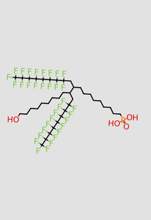 O=P(O)(O)CCCCCCCCCC(CC(F)(F)C(F)(F)C(F)(F)C(F)(F)C(F)(F)C(F)(F)C(F)(F)C(F)(F)F)C(CCCCCCCCCO)CC(F)(F)C(F)(F)C(F)(F)C(F)(F)C(F)(F)C(F)(F)C(F)(F)C(F)(F)F